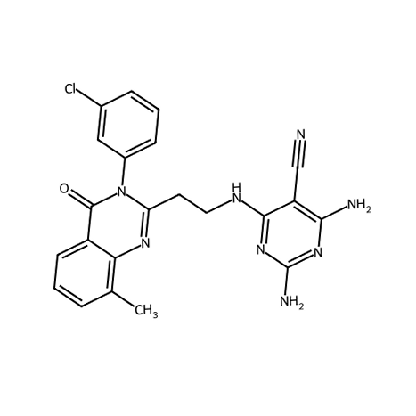 Cc1cccc2c(=O)n(-c3cccc(Cl)c3)c(CCNc3nc(N)nc(N)c3C#N)nc12